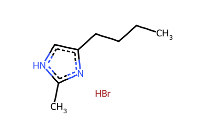 Br.CCCCc1c[nH]c(C)n1